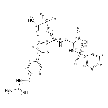 N=C(N)NCc1ccc(-c2ccc(C(=O)NCC(NS(=O)(=O)c3ccccc3)C(=O)O)s2)cc1.O=C(O)C(F)(F)F